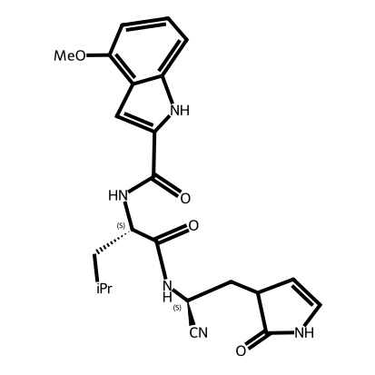 COc1cccc2[nH]c(C(=O)N[C@@H](CC(C)C)C(=O)N[C@H](C#N)CC3C=CNC3=O)cc12